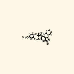 CCn1ncc2c(NC3CCOCC3)c(C(=O)NCc3ccc(OC)cc3OC)cnc21